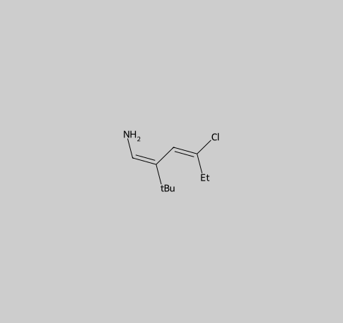 CC/C(Cl)=C\C(=C/N)C(C)(C)C